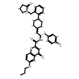 CCCOc1ccc2oc(C(=O)N[C@H](C=C3CCC(c4ccccc4CN4CCCC4=O)CC3)Cc3ccc(Cl)cc3)cc(=O)c2c1